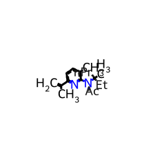 C=C(C)c1ccc(C)c(N(C(C)=O)C(C)(CC)CCC)n1